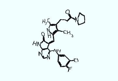 Cc1[nH]c(C=C2C(=O)Nc3ncnc(Nc4ccc(F)c(Cl)c4)c32)c(C)c1CCC(=O)N1CCCC1